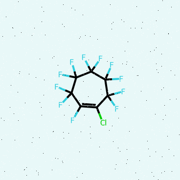 FC1=C(Cl)C(F)(F)C(F)(F)C(F)(F)C(F)(F)C1(F)F